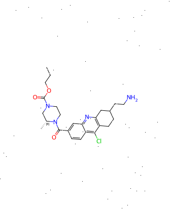 CCCOC(=O)N1CCN(C(=O)c2ccc3c(Cl)c4c(nc3c2)CC(CCN)CC4)[C@H](C)C1